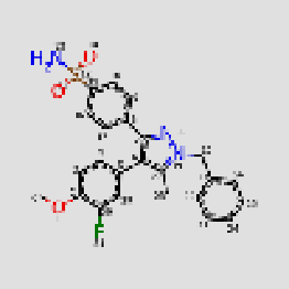 COc1ccc(-c2c(-c3ccc(S(N)(=O)=O)cc3)nn(Cc3ccccc3)c2C)cc1F